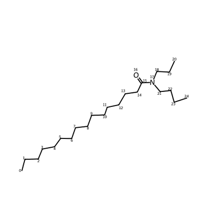 CCCCCCCCCCCCCCCC(=O)N(CCC)CCCC